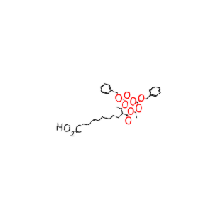 CC(OC(=O)OCc1ccccc1)OC(=O)C(CCCCCCCCC(=O)O)C(C)OC(=O)OCc1ccccc1